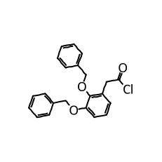 O=C(Cl)Cc1cccc(OCc2ccccc2)c1OCc1ccccc1